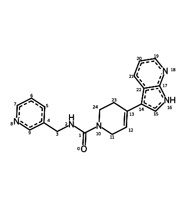 O=C(NCc1cccnc1)N1CC=C(c2c[nH]c3ncccc23)CC1